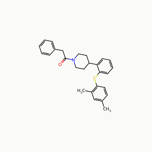 Cc1ccc(Sc2ccccc2C2CCN(C(=O)Cc3ccccc3)CC2)c(C)c1